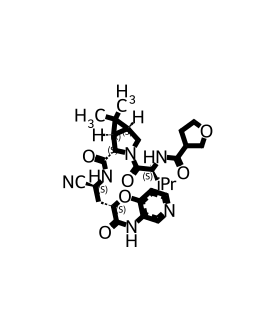 CC(C)[C@H](NC(=O)C1CCOC1)C(=O)N1C[C@H]2[C@@H]([C@H]1C(=O)N[C@H](C#N)C[C@@H]1Oc3ccncc3NC1=O)C2(C)C